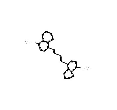 COc1ccc(C=CC=Cc2ccc(OC)c3ccccc23)c2ccccc12